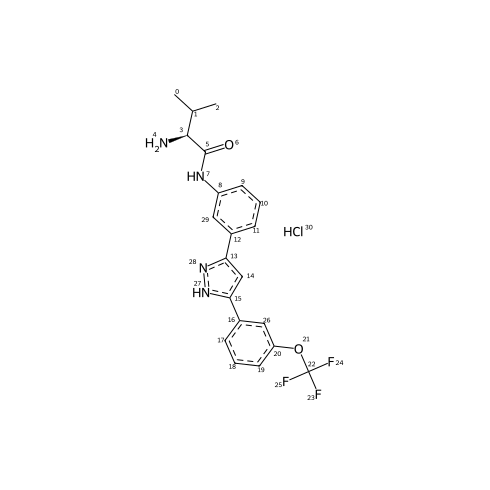 CC(C)[C@H](N)C(=O)Nc1cccc(-c2cc(-c3cccc(OC(F)(F)F)c3)[nH]n2)c1.Cl